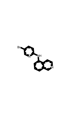 Brc1ccc(Nc2cccc3cnccc23)nc1